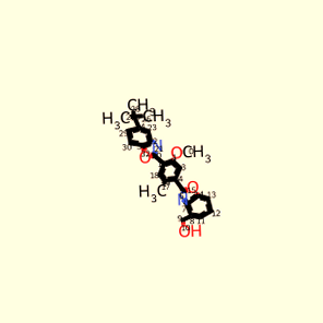 COc1cc(-c2nc3c(CO)cccc3o2)c(C)cc1-c1nc2cc(C(C)(C)C)ccc2o1